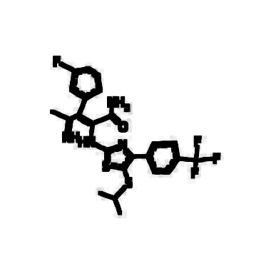 CC(=N)/C(=C(\Nc1nc(-c2ccc(C(F)(F)F)cc2)c(SC(C)C)s1)C(N)=O)c1cccc(F)c1